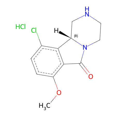 COc1ccc(Cl)c2c1C(=O)N1CCNC[C@@H]21.Cl